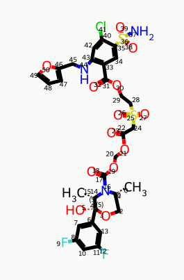 C[C@@H]1CO[C@@](O)(c2cc(F)cc(F)c2)[C@H](C)N1C(=O)OCOC(=O)CS(=O)(=O)CCOC(=O)c1cc(S(N)(=O)=O)c(Cl)cc1NCc1ccco1